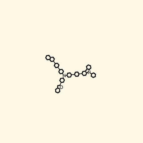 c1ccc(-n2c3ccccc3c3cc(-c4ccc(-c5ccc(N(c6ccc(-c7ccc(-c8ccc9ccccc9c8)cc7)cc6)c6ccc(-c7cc8ccccc8o7)cc6)cc5)cc4)ccc32)cc1